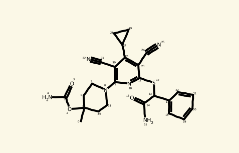 CC1(OC(N)=O)CCN(c2nc(SC(C(N)=O)c3ccccc3)c(C#N)c(C3CC3)c2C#N)CC1